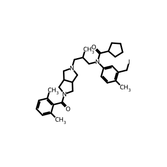 Cc1ccc(N(CC(C)CN2CC3CN(C(=O)c4c(C)cccc4C)CC3C2)C(=O)C2CCCC2)cc1CI